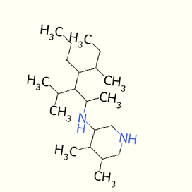 CCCC(C(C)CC)C(C(C)C)C(C)NC1CNCC(C)C1C